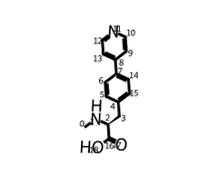 CN[C@@H](Cc1ccc(-c2ccncc2)cc1)C(=O)O